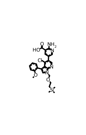 COc1ccccc1-c1cn(COCC[Si](C)(C)C)c2ncc(-c3cnc(N)c(C(=O)O)c3)c(Cl)c12